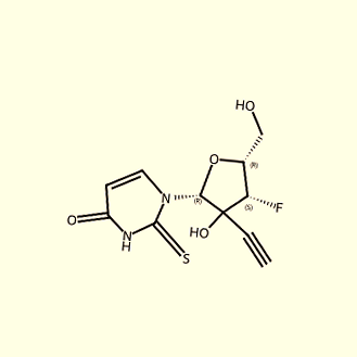 C#CC1(O)[C@@H](F)[C@@H](CO)O[C@H]1n1ccc(=O)[nH]c1=S